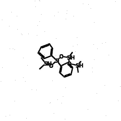 C[SiH](C)O[SiH](C)O[Si](O[SiH](C)C)(c1ccccc1)c1ccccc1